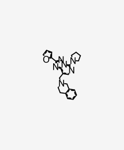 c1coc(-c2nc3c(CN4CCc5ccccc5C4)cnc(N4CCCC4)n3n2)c1